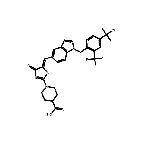 CC(C)(O)c1ccc(Cn2ncc3cc(/C=C4\SC(N5CCC(C(=O)O)CC5)=NC4=O)ccc32)c(C(F)(F)F)c1